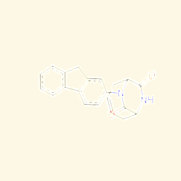 O=C1NC2CC=CCC1N(c1ccc3c(c1)Cc1ccccc1-3)C2=O